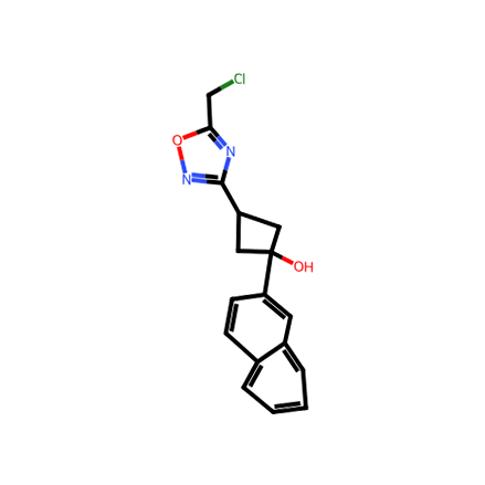 OC1(c2ccc3ccccc3c2)CC(c2noc(CCl)n2)C1